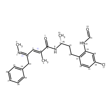 C/N=C(\C=C(/C)C(=O)N[C@H](C)CCc1ccc(Cl)cc1NC=O)Cc1ccccc1